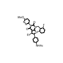 CCc1c(-c2ccc(NC(C)=O)cc2)sc2c1c(=O)n(-c1ccc(OC)nn1)c(=O)n2Cc1c(F)cccc1F